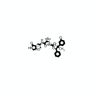 CCCC[C@H](SNC(=O)O[C@@H](c1ccccc1)C(C)(C)c1cccc(Cl)c1)C(=O)N[C@H](CO)C[C@@H]1CCNC1=O